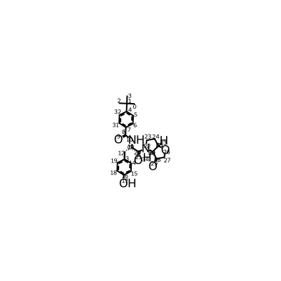 CC(C)(C)c1ccc(C(=O)N[C@@H](Cc2ccc(O)cc2)C(=O)N2CC[C@H]3OCC(=O)[C@H]32)cc1